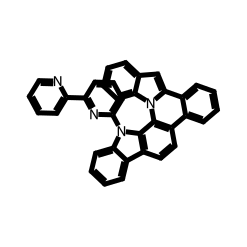 c1ccc(-c2cccc(-n3c4ccccc4c4ccc5c6ccccc6c6cc7ccccc7n6c5c43)n2)nc1